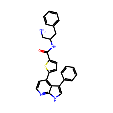 NCC(Cc1ccccc1)NC(=O)c1ccc(-c2ccnc3[nH]cc(-c4ccccc4)c23)s1